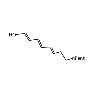 CCCCCCC/C=C/C=C/C=C/O